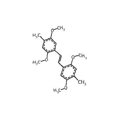 COc1cc(/C=C/c2cc(OC)c(C)cc2OC)c(OC)cc1C